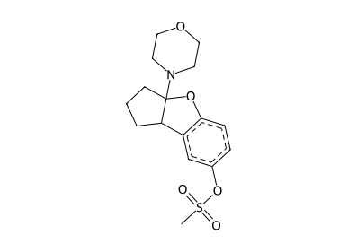 CS(=O)(=O)Oc1ccc2c(c1)C1CCCC1(N1CCOCC1)O2